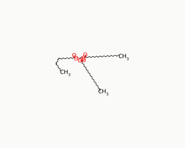 CCCCC/C=C\C/C=C\CCCCCCCC(=O)OC[C@H](COC(=O)CCCCCCCCCCCCCCCCCCC)OC(=O)CCCCCCCCCCCCCCCCCCC